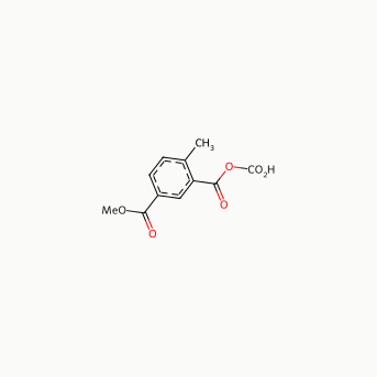 COC(=O)c1ccc(C)c(C(=O)OC(=O)O)c1